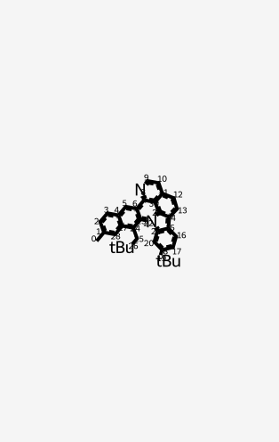 Cc1ccc2cc3c4nccc5ccc6c7ccc(C(C)(C)C)cc7n(c3c(CC(C)(C)C)c2c1)c6c54